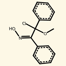 COC(Cl)(C(=NO)c1ccccc1)c1ccccc1